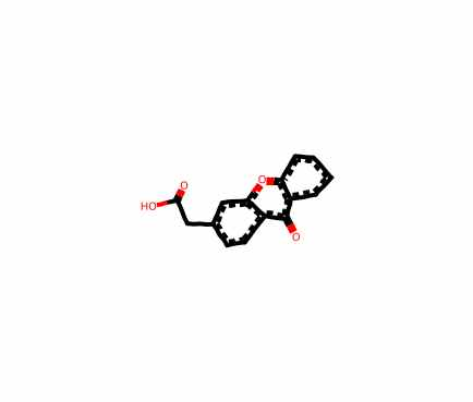 O=C(O)Cc1ccc2c(=O)c3ccccc3oc2c1